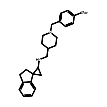 CSc1ccc(CN2CCC(CNC3CC34CCc3ccccc34)CC2)cc1